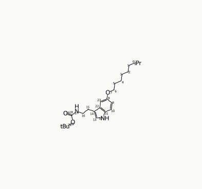 CC(C)CCCCCCOc1ccc2[nH]cc(CCNC(=O)OC(C)(C)C)c2c1